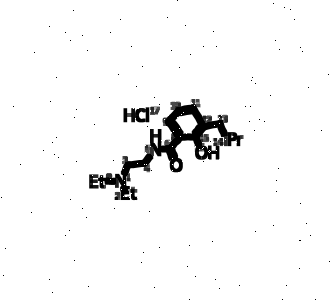 CCN(CC)CCNC(=O)c1cccc(CC(C)C)c1O.Cl